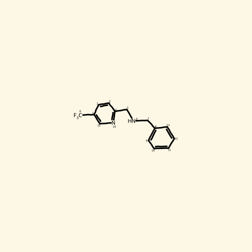 FC(F)(F)c1ccc(CNCc2ccccc2)nc1